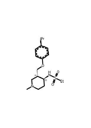 CCS(=O)(=O)N[C@H]1CCN(C)C[C@@H]1COc1ccc(C(C)C)cc1